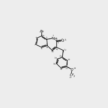 O=c1[nH]c2c(Br)cccc2cc1Cc1cccc(OC(F)(F)F)c1